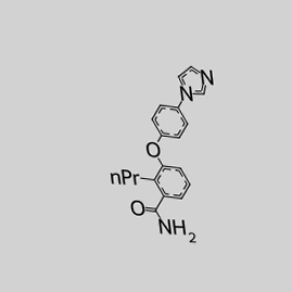 CCCc1c(Oc2ccc(-n3ccnc3)cc2)cccc1C(N)=O